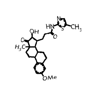 COc1ccc2c(c1)CCC1C2CCC2(C)C(=O)C(O)C(CCC(=O)Nc3ncc(C)s3)C12